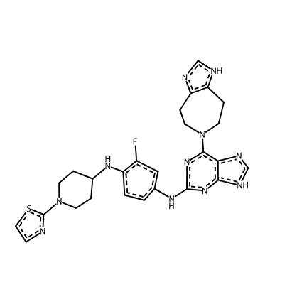 Fc1cc(Nc2nc(N3CCc4nc[nH]c4CC3)c3nc[nH]c3n2)ccc1NC1CCN(c2nccs2)CC1